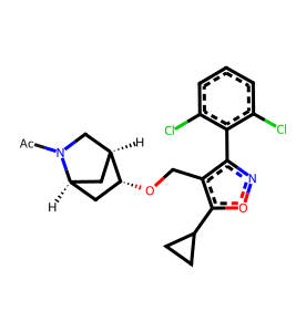 CC(=O)N1C[C@@H]2C[C@H]1C[C@H]2OCc1c(-c2c(Cl)cccc2Cl)noc1C1CC1